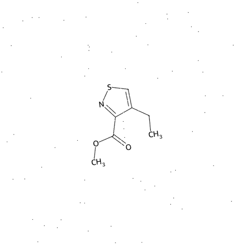 CCc1csnc1C(=O)OC